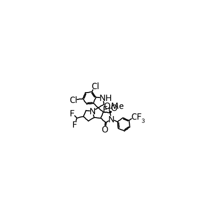 CCC12C(=O)N(c3cccc(C(F)(F)F)c3)C(=O)C1C1CC(C(F)F)CN1C21c2cc(Cl)cc(Cl)c2NC1OC